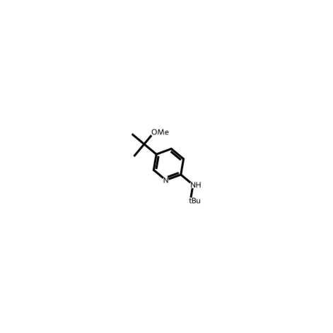 COC(C)(C)c1ccc(NC(C)(C)C)nc1